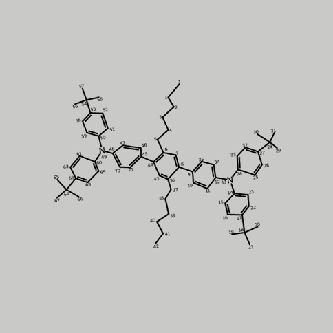 CCCCCCc1cc(-c2ccc(N(c3ccc(C(C)(C)C)cc3)c3ccc(C(C)(C)C)cc3)cc2)c(CCCCCC)cc1-c1ccc(N(c2ccc(C(C)(C)C)cc2)c2ccc(C(C)(C)C)cc2)cc1